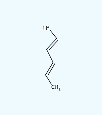 CC=CC=[CH][Hf]